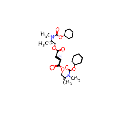 C[C@@H](COC(=O)/C=C/C(=O)OC[C@H](C)N(C)C(=O)OC1CCCCC1)N(C)C(=O)OC1CCCCC1